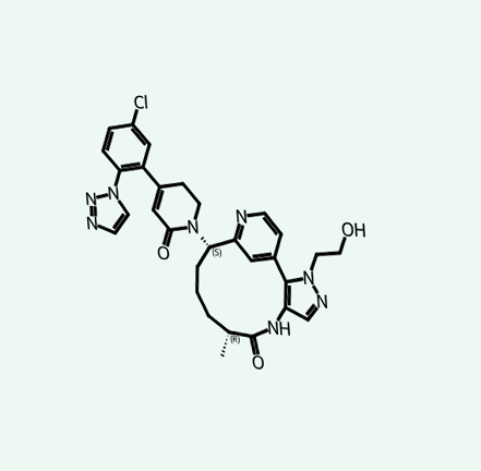 C[C@@H]1CCC[C@H](N2CCC(c3cc(Cl)ccc3-n3ccnn3)=CC2=O)c2cc(ccn2)-c2c(cnn2CCO)NC1=O